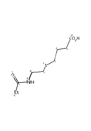 CCC(=O)NCCSCCCC(=O)O